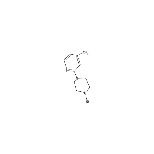 CCN1CCN(c2cc(C)ccn2)CC1